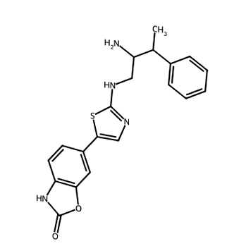 CC(c1ccccc1)C(N)CNc1ncc(-c2ccc3[nH]c(=O)oc3c2)s1